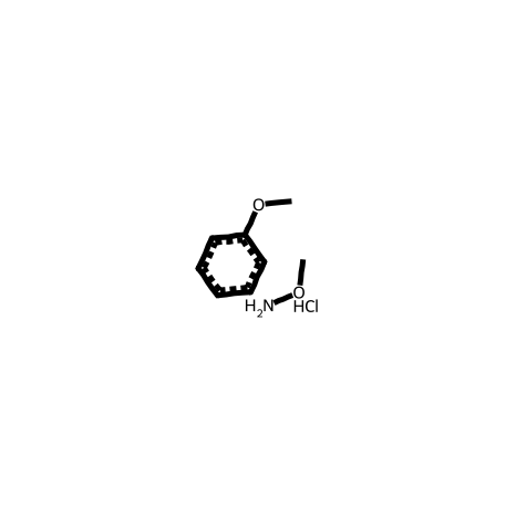 CON.COc1ccccc1.Cl